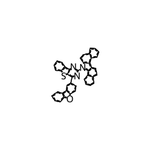 c1ccc2c(c1)ccc1c2c2ccc3ccccc3c2n1-c1nc(-c2ccc3oc4ccccc4c3c2)c2sc3ccccc3c2n1